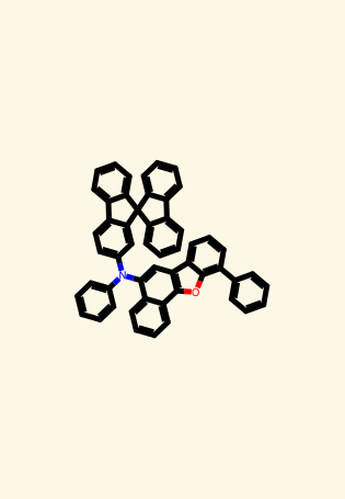 c1ccc(-c2cccc3c2oc2c4ccccc4c(N(c4ccccc4)c4ccc5c(c4)C4(c6ccccc6-c6ccccc64)c4ccccc4-5)cc32)cc1